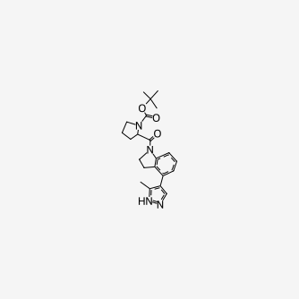 Cc1[nH]ncc1-c1cccc2c1CCN2C(=O)C1CCCN1C(=O)OC(C)(C)C